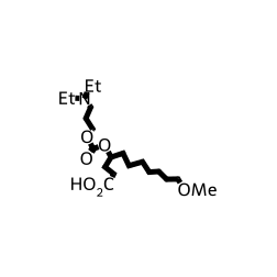 CCN(CC)CCCOC(=O)OC(CCCCCCCOC)CCC(=O)O